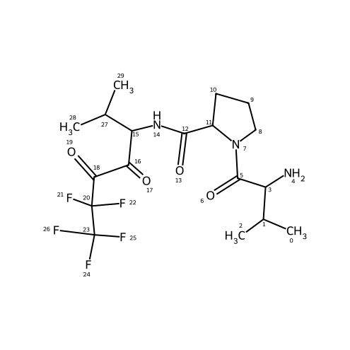 CC(C)C(N)C(=O)N1CCCC1C(=O)NC(C(=O)C(=O)C(F)(F)C(F)(F)F)C(C)C